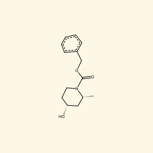 C[C@@H]1C[C@H](O)CCN1C(=O)OCc1ccccc1